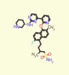 Cc1ccc2c(CCC(C)CS(N)(=O)=O)c(F)ccc2c1Oc1ncccc1-c1ccnc(N[C@H]2CCCNC2)n1